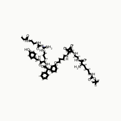 CCC(=O)NCCNC(=O)/N=C(/N)NCCC[C@@H](NC(=O)C(c1ccccc1)c1cccc(OCCCCNc2c(NCCNC(=O)[C@H](N)CCCCNC(=O)OC(C)(C)C)c(=O)c2=O)c1)C(=O)NCc1ccc(O)cc1